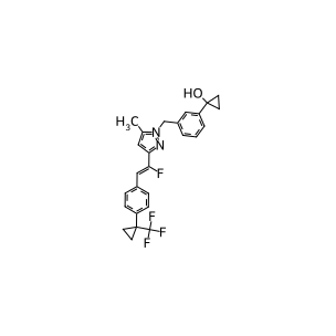 Cc1cc(C(F)=Cc2ccc(C3(C(F)(F)F)CC3)cc2)nn1Cc1cccc(C2(O)CC2)c1